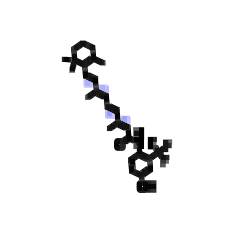 CC1=C(/C=C/C(C)=C/C=C/C(C)=C/C(=O)Nc2ccc(O)cc2C(F)(F)F)C(C)(C)CCC1